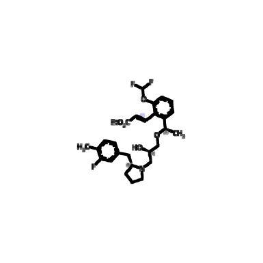 CCOC(=O)/C=C/c1c(OC(F)F)cccc1[C@@H](C)OC[C@H](O)CN1CCC[C@H]1Cc1ccc(C)c(F)c1